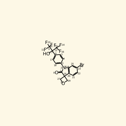 O=C(Nc1ccc(C(O)(C(F)(F)F)C(F)(F)F)cc1)C1(c2ccc(Br)cc2)COC1